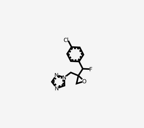 FC(c1ccc(Cl)cc1)C1(Cn2cncn2)CO1